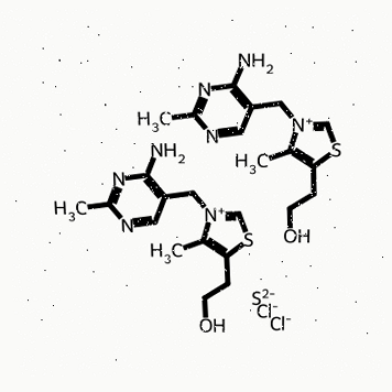 Cc1ncc(C[n+]2csc(CCO)c2C)c(N)n1.Cc1ncc(C[n+]2csc(CCO)c2C)c(N)n1.[Cl-].[Cl-].[S-2]